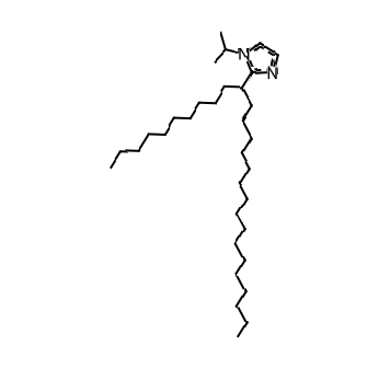 CCCCCCCCCCCCCCCCC(CCCCCCCCCC)c1nccn1C(C)C